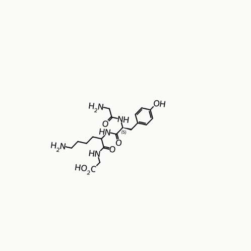 NCCCCC(NC(=O)[C@H](Cc1ccc(O)cc1)NC(=O)CN)C(=O)NCC(=O)O